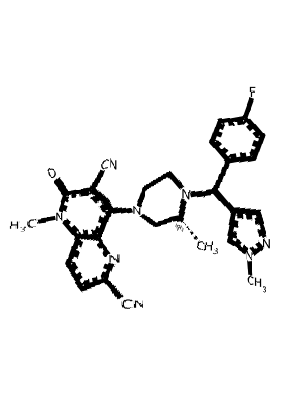 C[C@@H]1CN(c2c(C#N)c(=O)n(C)c3ccc(C#N)nc23)CCN1C(c1ccc(F)cc1)c1cnn(C)c1